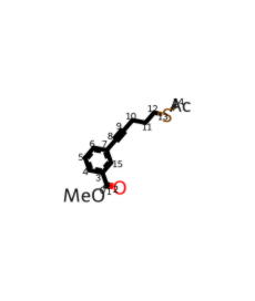 COC(=O)c1cccc(C#CCCCSC(C)=O)c1